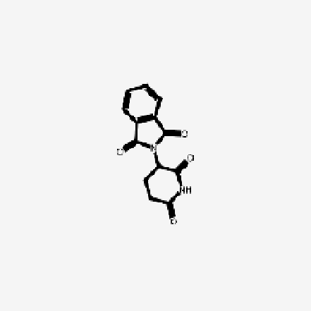 O=C1CCC(N2C(=O)c3[c]cccc3C2=O)C(=O)N1